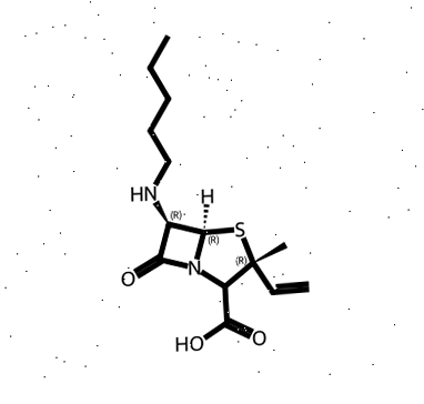 C=C[C@@]1(C)S[C@@H]2[C@H](NCCCCC)C(=O)N2C1C(=O)O